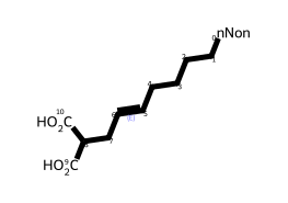 CCCCCCCCCCCCC/C=C/CC(C(=O)O)C(=O)O